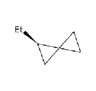 CC[C@@H]1CC12CC2